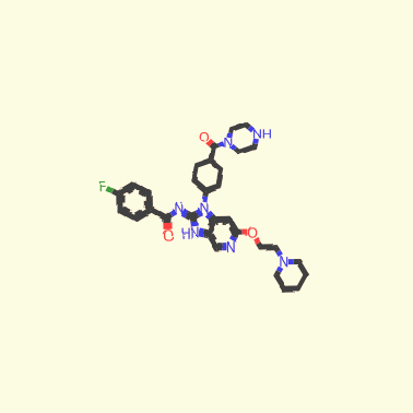 O=C(/N=c1\[nH]c2cnc(OCCN3CCCCC3)cc2n1C1CCC(C(=O)N2CCNCC2)CC1)c1ccc(F)cc1